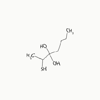 CCCCC(O)(O)C(C)S